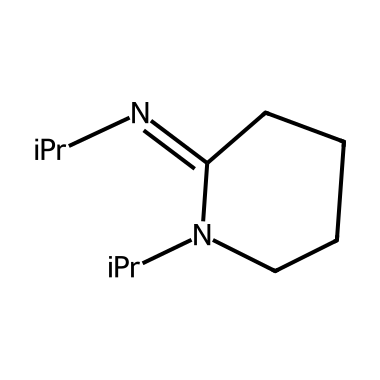 CC(C)/N=C1/CCCCN1C(C)C